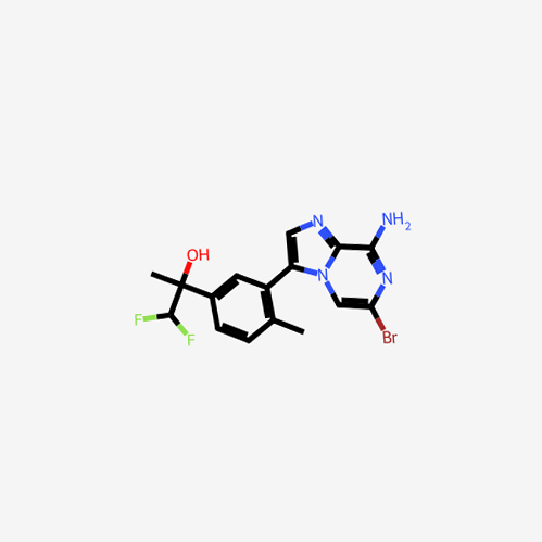 Cc1ccc(C(C)(O)C(F)F)cc1-c1cnc2c(N)nc(Br)cn12